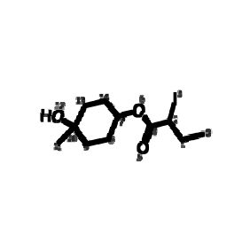 CCC(I)C(=O)OC1CCC(C)(O)CC1